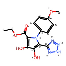 CCOC(=O)c1c(O)c(O)c(-c2nn[nH]n2)n1-c1ccc(OC)cc1